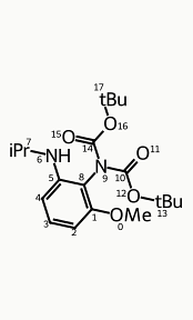 COc1cccc(NC(C)C)c1N(C(=O)OC(C)(C)C)C(=O)OC(C)(C)C